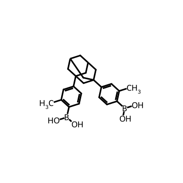 Cc1cc(C23CC4CC(C2)CC(c2ccc(B(O)O)c(C)c2)(C4)C3)ccc1B(O)O